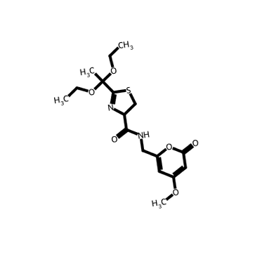 CCOC(C)(OCC)C1=NC(C(=O)NCc2cc(OC)cc(=O)o2)CS1